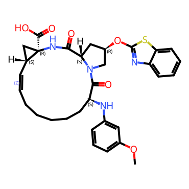 COc1cccc(N[C@H]2CCCCC/C=C\[C@@H]3C[C@@]3(C(=O)O)NC(=O)[C@@H]3C[C@@H](Oc4nc5ccccc5s4)CN3C2=O)c1